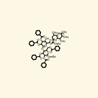 CCCCO[C@@H]1OC(COC(=O)c2ccccc2)[C@@H](O[C@@H]2OC(CO[C@]3(C(=O)OC)CC(OC(C)=O)[C@@H](NC(C)=O)C([C@H](OC(C)=O)[C@@H](COC(C)=O)OC(C)=O)O3)[C@H](O)C(OC(=O)c3ccccc3)C2OC(=O)c2ccccc2)C(OC(=O)c2ccccc2)C1OC(=O)c1ccccc1